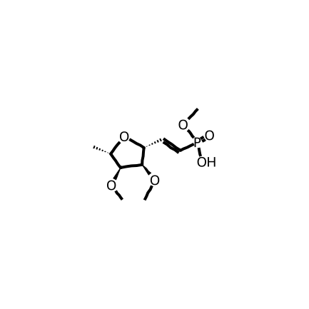 CO[C@@H]1[C@H](OC)[C@@H](/C=C/P(=O)(O)OC)O[C@H]1C